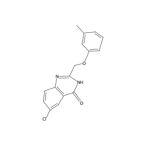 Cc1cccc(OCc2nc3ccc(Cl)cc3c(=O)[nH]2)c1